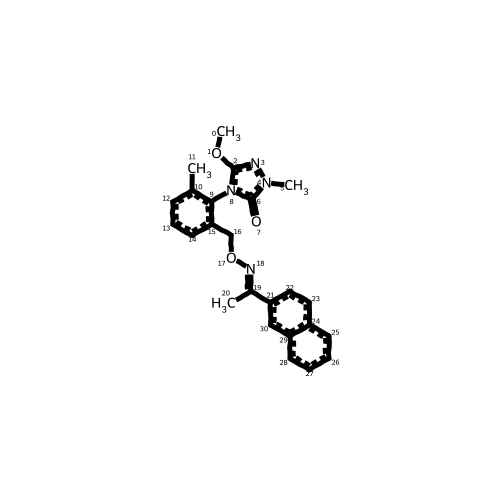 COc1nn(C)c(=O)n1-c1c(C)cccc1CON=C(C)c1ccc2ccccc2c1